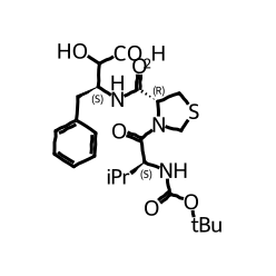 CC(C)[C@H](NC(=O)OC(C)(C)C)C(=O)N1CSC[C@H]1C(=O)N[C@@H](Cc1ccccc1)C(O)C(=O)O